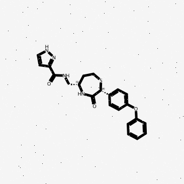 O=C(NC[C@@H]1CCS[C@H](c2ccc(Oc3ccccc3)cc2)C(=O)N1)c1cc[nH]n1